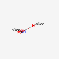 CCCCCCCCCCCCCCCCCC(=O)OCCCCCCCCCCCCCCCCCCCCCCCCCCC(=O)N[C@@H](CO)[C@H](O)[C@@H](O)CCCCCCCCCCCCCC